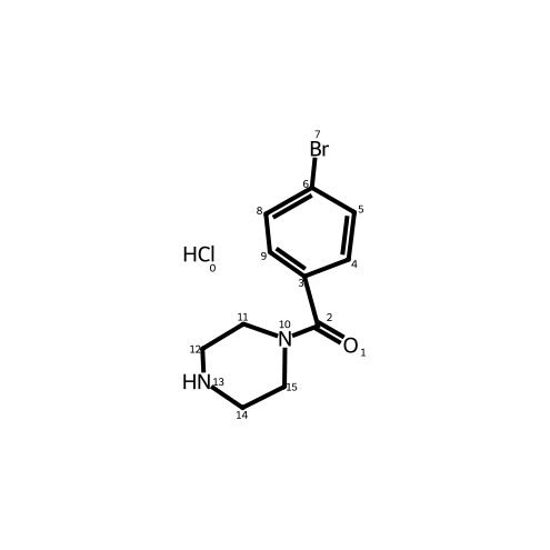 Cl.O=C(c1ccc(Br)cc1)N1CCNCC1